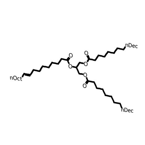 CCCCCCCCC=CCCCCCCCC(=O)OC(COC(=O)CCCCCCCCCCCCCCCCC)COC(=O)CCCCCCCCCCCCCCCCC